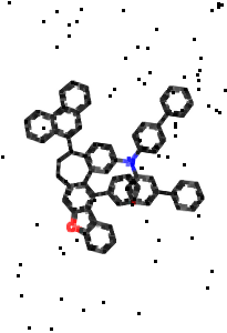 c1ccc(-c2ccc(N(c3cccc(-c4ccccc4)c3)c3ccc4c(c3)-c3c(cc5oc6ccccc6c5c3-c3ccccc3)CCC4c3cc4ccccc4c4ccccc34)cc2)cc1